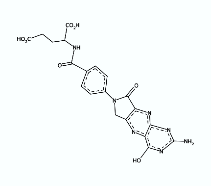 Nc1nc(O)c2nc3c(nc2n1)C(=O)N(c1ccc(C(=O)NC(CCC(=O)O)C(=O)O)cc1)C3